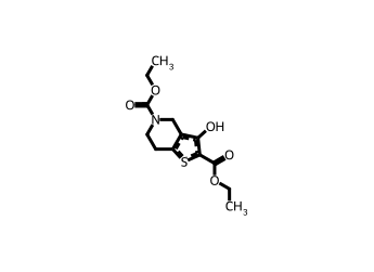 CCOC(=O)c1sc2c(c1O)CN(C(=O)OCC)CC2